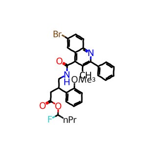 CCCC(F)OC(=O)CC(CNC(=O)c1c(C)c(-c2ccccc2)nc2ccc(Br)cc12)c1ccccc1OC